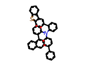 c1ccc(-c2ccc(N(c3ccccc3-c3ccc4sc5ccccc5c4c3)c3ccccc3-c3cccc4ccccc34)cc2)cc1